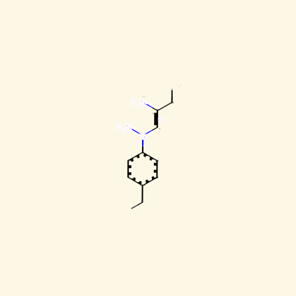 CCOC(=O)Cc1ccc(N(N)/C=C(\N)COC)cc1